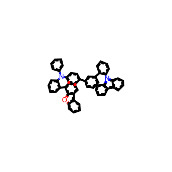 c1ccc(N(c2ccc(-c3cccc(-c4ccccc4-n4c5ccccc5c5ccccc54)c3)cc2)c2ccccc2-c2cccc3c2oc2ccccc23)cc1